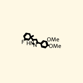 COc1ccc(C2=NNC(C3(C)C=C(F)C=CC3)C2)cc1OC